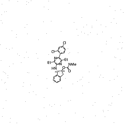 CCc1nc(-c2ccc(Cl)cc2Cl)c(CC)nc1N[C@H]1c2ccccc2C[C@@H]1OC(=O)NC